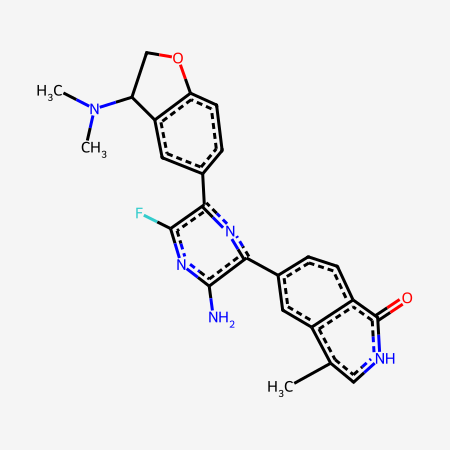 Cc1c[nH]c(=O)c2ccc(-c3nc(-c4ccc5c(c4)C(N(C)C)CO5)c(F)nc3N)cc12